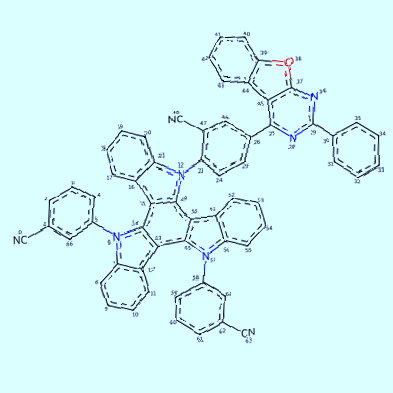 N#Cc1cccc(-n2c3ccccc3c3c2c2c4ccccc4n(-c4ccc(-c5nc(-c6ccccc6)nc6oc7ccccc7c56)cc4C#N)c2c2c4ccccc4n(-c4cccc(C#N)c4)c32)c1